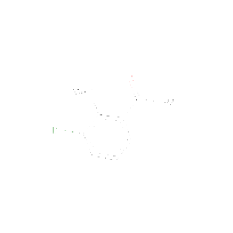 COC(=O)c1cccc(Br)c1OC